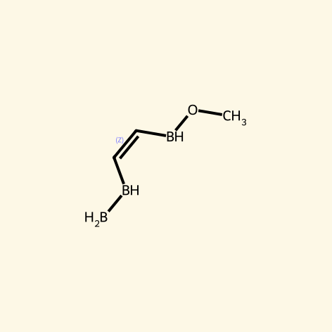 BB/C=C\BOC